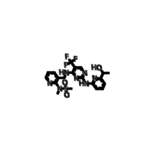 CC(O)c1cccc(Nc2ncc(C(F)(F)F)c(NCc3cccnc3N(C)S(C)(=O)=O)n2)n1